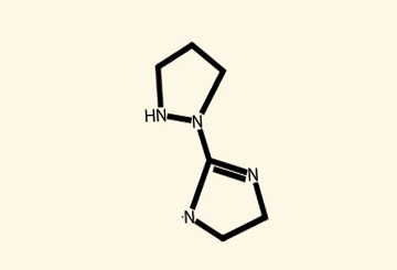 C1CNN(C2=NCC[N]2)C1